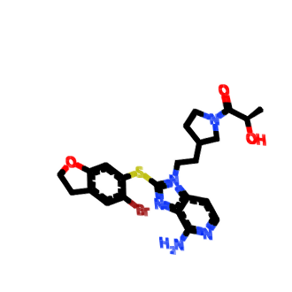 C[C@@H](O)C(=O)N1CCC(CCn2c(Sc3cc4c(cc3Br)CCO4)nc3c(N)nccc32)C1